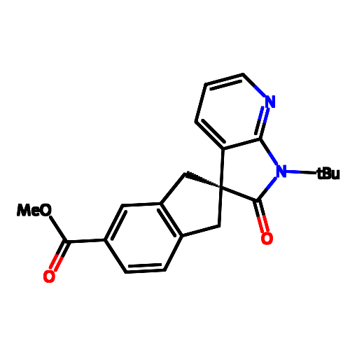 COC(=O)c1ccc2c(c1)C[C@@]1(C2)C(=O)N(C(C)(C)C)c2ncccc21